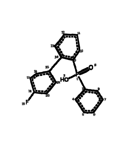 O=P(O)(c1ccccc1)c1ccccc1-c1ccc(F)cc1